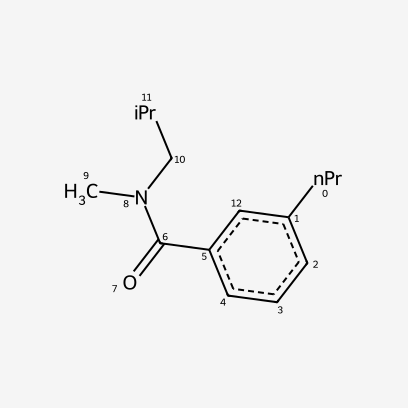 CCCc1cccc(C(=O)N(C)CC(C)C)c1